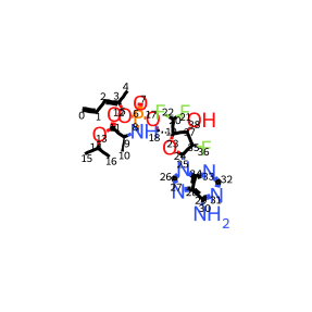 C=C/C=C(/C)OP(=O)(N[C@@H](C)C(=O)OC(C)C)OC[C@@]1(C(F)F)O[C@@H](n2cnc3c(N)ncnc32)[C@H](F)[C@@H]1O